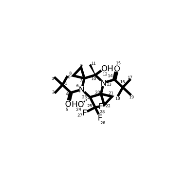 CC(C)(C)C(=O)N1C2(CC2)[C@](C)(O)N(C(=O)C(C)(C)C)C2(CC2)[C@@]1(O)C(F)(F)F